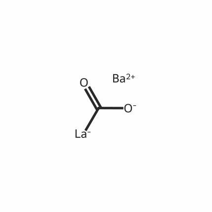 O=[C]([O-])[La-].[Ba+2]